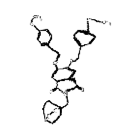 COc1ccc(COc2cc3c(cc2OCc2ccc(OC)cc2)C(=O)N(CC24CCN(CC2)CC4)C3=O)cc1